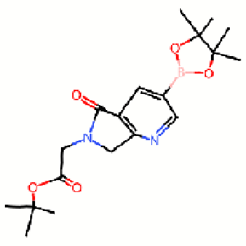 CC(C)(C)OC(=O)CN1Cc2ncc(B3OC(C)(C)C(C)(C)O3)cc2C1=O